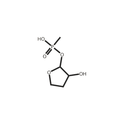 CP(=O)(O)OC1OCCC1O